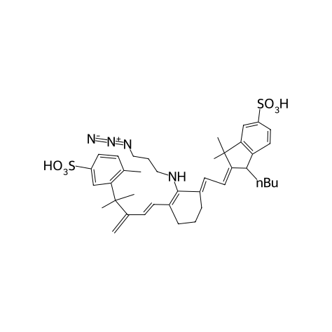 C=C(/C=C/C1=C(NCCCN=[N+]=[N-])C(=C/C=C2/C(CCCC)c3ccc(S(=O)(=O)O)cc3C2(C)C)/CCC1)C(C)(C)c1cc(S(=O)(=O)O)ccc1C